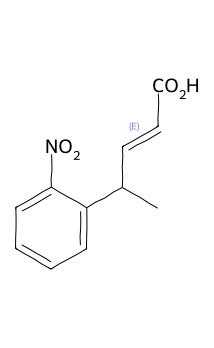 CC(/C=C/C(=O)O)c1ccccc1[N+](=O)[O-]